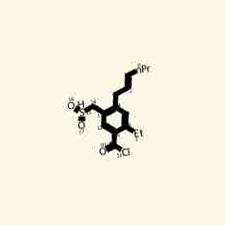 CCCC=CCc1cc(CC)c(C(=O)Cl)cc1C[SH](=O)=O